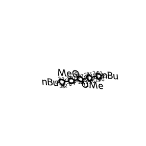 CCCCc1ccc(-c2ccc(-c3cc(OC)c(-c4ccc(-c5ccc(CCCC)cc5)cc4)cc3OC)cc2)cc1